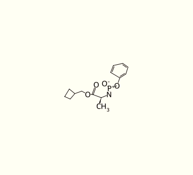 C[C@H](N=[P+]([O-])Oc1ccccc1)C(=O)OCC1CCC1